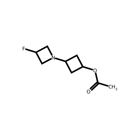 CC(=O)OC1CC(N2CC(F)C2)C1